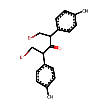 N#Cc1ccc(C(CBr)C(=O)C(CBr)c2ccc(C#N)cc2)cc1